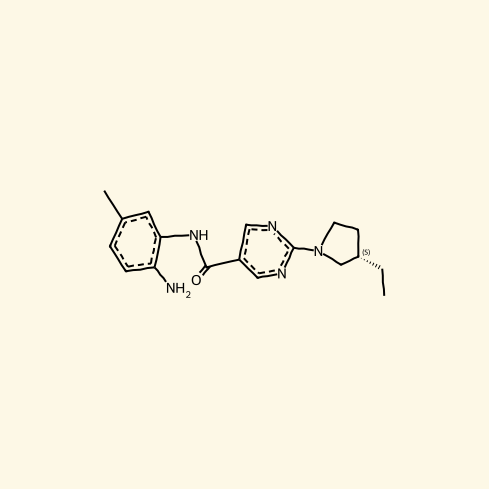 CC[C@H]1CCN(c2ncc(C(=O)Nc3cc(C)ccc3N)cn2)C1